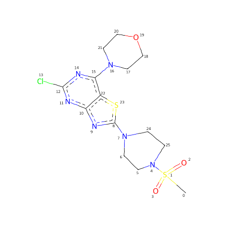 CS(=O)(=O)N1CCN(c2nc3nc(Cl)nc(N4CCOCC4)c3s2)CC1